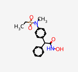 CCS(=O)(=O)N(C)c1ccc(C(C(=O)NO)c2ccccc2)cc1